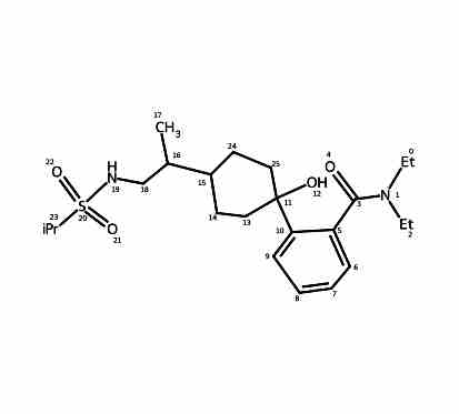 CCN(CC)C(=O)c1ccccc1C1(O)CCC(C(C)CNS(=O)(=O)C(C)C)CC1